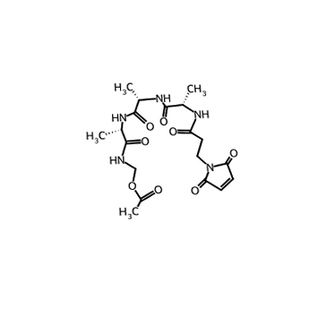 CC(=O)OCNC(=O)[C@H](C)NC(=O)[C@H](C)NC(=O)[C@H](C)NC(=O)CCN1C(=O)C=CC1=O